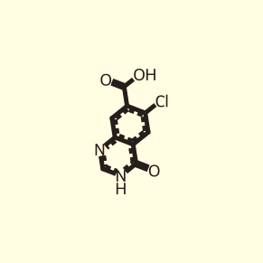 O=C(O)c1cc2nc[nH]c(=O)c2cc1Cl